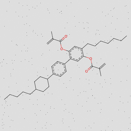 C=C(C)C(=O)Oc1cc(-c2ccc(C3CCC(CCCCC)CC3)cc2)c(OC(=O)C(=C)C)cc1CCCCCCC